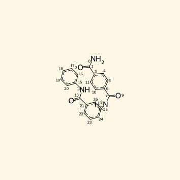 NC(=O)c1ccc(C(N)=O)cc1.O=C(Nc1ccccc1)c1ccccc1